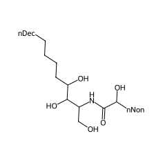 CCCCCCCCCCCCCCC(O)C(O)C(CO)NC(=O)C(O)CCCCCCCCC